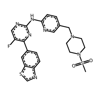 CS(=O)(=O)N1CCN(Cc2ccc(Nc3ncc(F)c(-c4ccc5ncsc5c4)n3)nc2)CC1